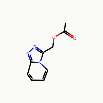 CC(=O)OCc1nnc2ccccn12